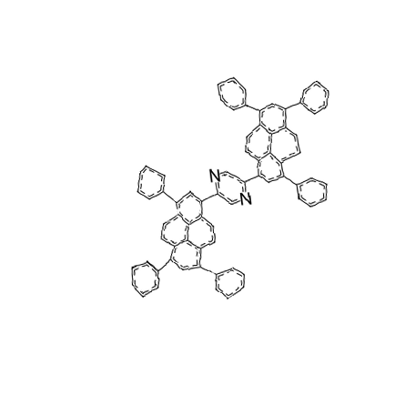 c1ccc(-c2cc(-c3ccccc3)c3ccc4c(-c5cnc(-c6cc(-c7ccccc7)c7ccc8c(-c9ccccc9)cc(-c9ccccc9)c9ccc6c7c89)cn5)cc(-c5ccccc5)c5ccc2c3c54)cc1